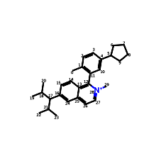 Cc1ccc(C2CCCC2)cc1-c1c2ccc(C(C(C)C)C(C)C)cc2cc[n+]1C